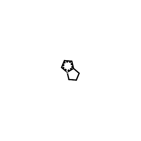 [CH]1CCc2cccn21